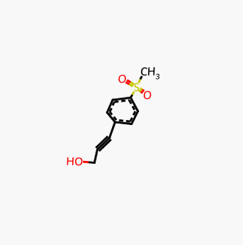 CS(=O)(=O)c1ccc(C#CCO)cc1